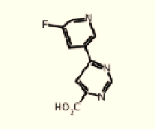 O=C(O)c1cc(-c2cncc(F)c2)ncn1